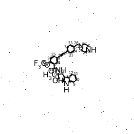 C[C@](CO)(Cc1c[nH]c2ccccc12)NC(=O)c1cc(C#Cc2ccc(CN3CCNCC3)cc2)ccc1OC(F)(F)F